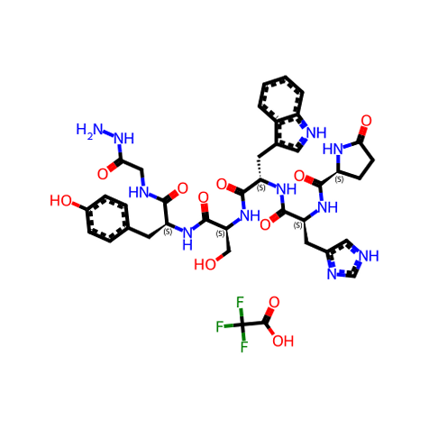 NNC(=O)CNC(=O)[C@H](Cc1ccc(O)cc1)NC(=O)[C@H](CO)NC(=O)[C@H](Cc1c[nH]c2ccccc12)NC(=O)[C@H](Cc1c[nH]cn1)NC(=O)[C@@H]1CCC(=O)N1.O=C(O)C(F)(F)F